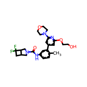 Cc1ccc(NC(=O)N2CC3CC(F)(F)C3C2)cc1-c1cc(OCCO)nc(N2CCOCC2)c1